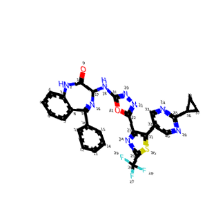 O=C1Nc2ccccc2C(c2ccccc2)=NC1Nc1nnc(-c2nc(C(F)(F)F)sc2-c2cnc(C3CC3)nc2)o1